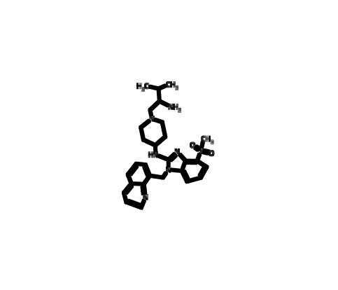 CC(C)C(N)CN1CCC(Nc2nc3c(S(C)(=O)=O)cccc3n2Cc2cccc3cccnc23)CC1